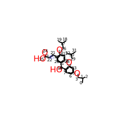 CC(C)COc1ccc(C(O)c2ccc(OCC(C)C)c(/C=C/C(=O)O)c2)c(OCC(C)C)c1